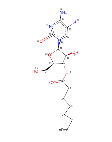 CCCCCCCCCCCCCCCC(=O)O[C@H]1[C@H](O)[C@H](n2cc(I)c(N)nc2=O)O[C@@H]1CO